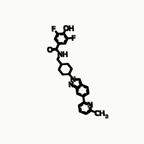 Cc1cccc(-c2ccc3cn(C4CCC(CNC(=O)c5cc(F)c(O)c(F)c5)CC4)nc3c2)n1